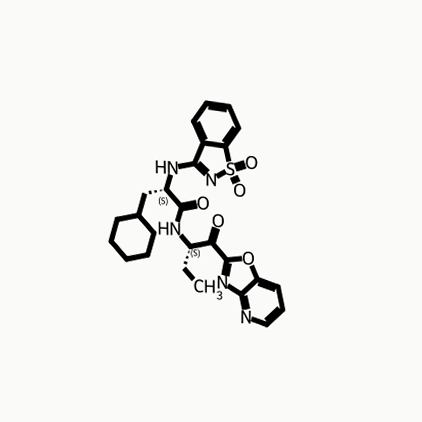 CC[C@H](NC(=O)[C@H](CC1CCCCC1)NC1=NS(=O)(=O)c2ccccc21)C(=O)c1nc2ncccc2o1